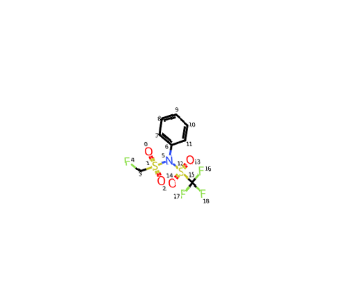 O=S(=O)(CF)N(c1ccccc1)S(=O)(=O)C(F)(F)F